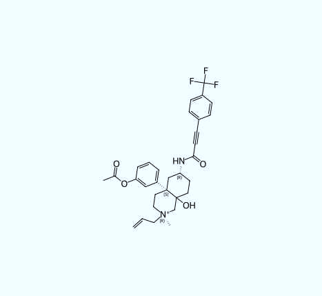 C=CC[N@@+]1(C)CC[C@@]2(c3cccc(OC(C)=O)c3)C[C@H](NC(=O)C#Cc3ccc(C(F)(F)F)cc3)CCC2(O)C1